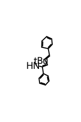 CC(C)(C)NC(=CC=Cc1ccccc1)c1ccccc1